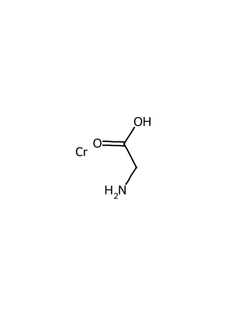 NCC(=O)O.[Cr]